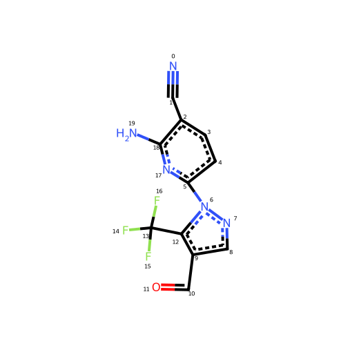 N#Cc1ccc(-n2ncc(C=O)c2C(F)(F)F)nc1N